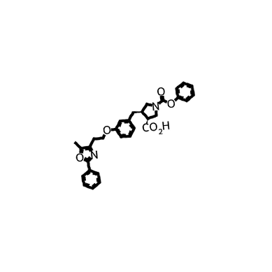 Cc1oc(-c2ccccc2)nc1CCOc1cccc(C[C@H]2CN(C(=O)Oc3ccccc3)C[C@@H]2C(=O)O)c1